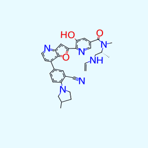 C=CNC[C@@H](C)N(C)C(=O)c1cnc(-c2cc3nccc(-c4ccc(N5CCC(C)C5)c(C#N)c4)c3o2)c(O)c1